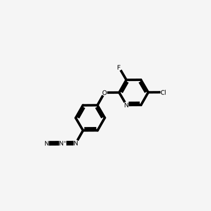 [N-]=[N+]=Nc1ccc(Oc2ncc(Cl)cc2F)cc1